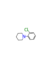 Clc1ccccc1N1CCCCC1